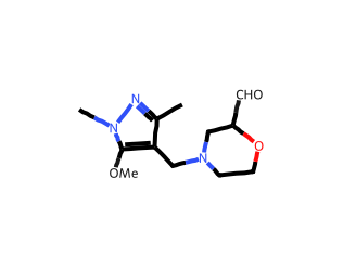 COc1c(CN2CCOC(C=O)C2)c(C)nn1C